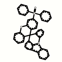 O=P(c1ccccc1)(c1ccccc1)c1ccc2c(c1)Oc1ccccc1C21c2ccccc2-n2c3ccccc3c3cccc1c32